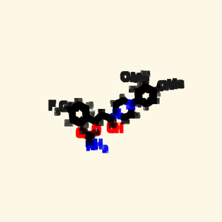 COc1ccc(N2CCN(C(O)CC(OC(N)=O)c3ccc(C(F)(F)F)cc3)CC2)cc1OC